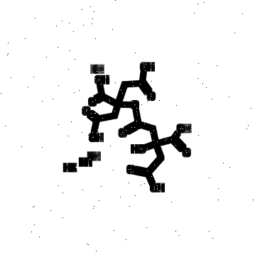 O=C(O)CC(O)(CC(=O)OC(CC(=O)O)(CC(=O)O)C(=O)O)C(=O)O.[KH].[KH].[KH].[KH]